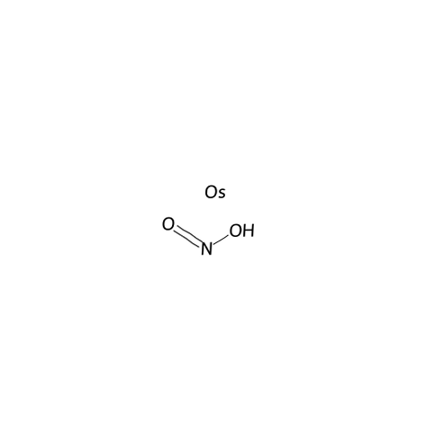 O=NO.[Os]